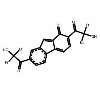 CCC(O)(CC)C(=O)C1=CC=C2C(=Cc3cc(C(=O)C(O)(CC)CC)ccc32)C1=O